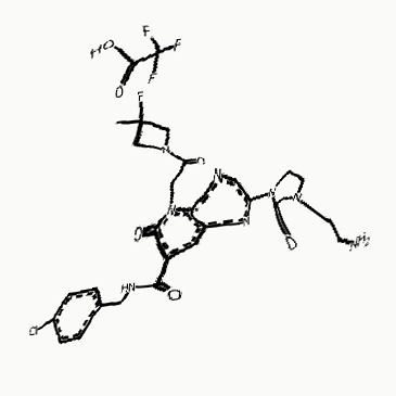 CC1(F)CN(C(=O)Cn2c(=O)c(C(=O)NCc3ccc(Cl)cc3)cc3nc(N4CCN(CCN)C4=O)cnc32)C1.O=C(O)C(F)(F)F